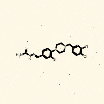 NC(=S)NN=Cc1ccc(N2CCN(Cc3ccc(Cl)c(Cl)c3)CC2)c(Br)c1